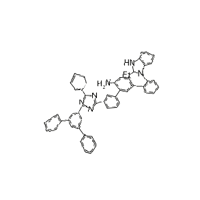 CCC1Nc2ccccc2N1c1ccccc1-c1ccc(N)c(-c2cccc(-c3nc(C4=CC=CCC4)nc(-c4cc(-c5ccccc5)cc(-c5ccccc5)c4)n3)c2)c1